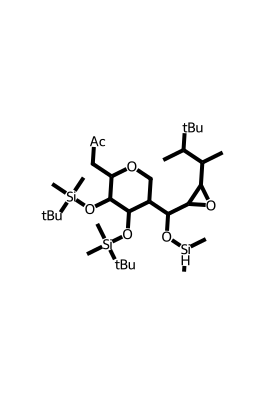 CC(=O)CC1OCC(C(O[SiH](C)C)C2OC2C(C)C(C)C(C)(C)C)C(O[Si](C)(C)C(C)(C)C)C1O[Si](C)(C)C(C)(C)C